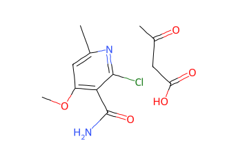 CC(=O)CC(=O)O.COc1cc(C)nc(Cl)c1C(N)=O